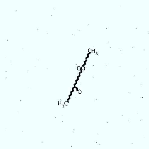 CCCCCCC=CCOC(=O)CCCCCCCCC(CC=O)CCCCCCCCC